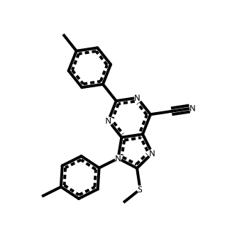 CSc1nc2c(C#N)nc(-c3ccc(C)cc3)nc2n1-c1ccc(C)cc1